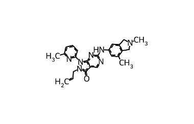 C=CCn1c(=O)c2cnc(Nc3cc(C)c4c(c3)CN(C)C4)nc2n1-c1cccc(C)n1